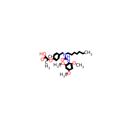 CCCCCCCN(Cc1ccc(OC(C)(C)C(=O)O)cc1)C(=O)Nc1c(OC)cc(OC)cc1OC